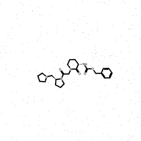 O=C(N[C@H]1CCCN(CC(=O)N2CCC[C@H]2CN2CCCC2)C1=O)OCc1ccccc1